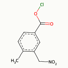 Cc1ccc(C(=O)OCl)cc1C[N+](=O)[O-]